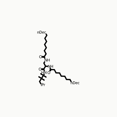 CCCCCCCCCCCCCCCCCC(=O)NCC(NC(=O)CCCCCCCCCCCCCCCCC)C(=O)NC(C)(C)C(C)(C)CC(C)C